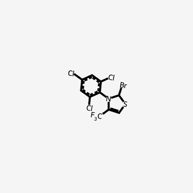 FC(F)(F)C1=CSC(Br)N1c1c(Cl)cc(Cl)cc1Cl